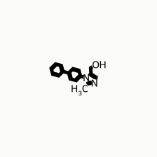 Cc1ncc(CO)n1-c1ccc(-c2ccccc2)cc1